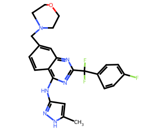 Cc1cc(Nc2nc(C(F)(F)c3ccc(F)cc3)nc3cc(CN4CCOCC4)ccc23)n[nH]1